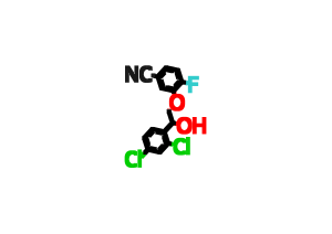 N#Cc1ccc(F)c(OCC(O)c2ccc(Cl)cc2Cl)c1